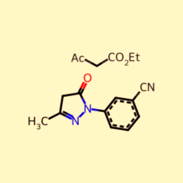 CC1=NN(c2cccc(C#N)c2)C(=O)C1.CCOC(=O)CC(C)=O